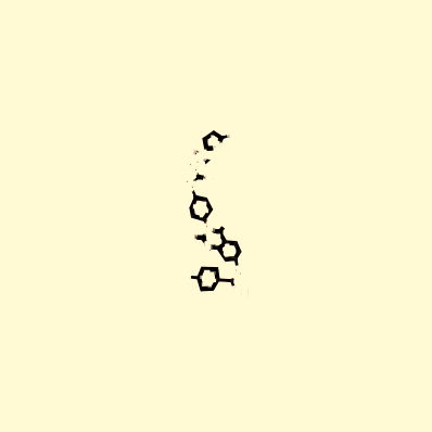 CC(Nc1ccc2c(=O)n(-c3ccc(NC(=O)NS(=O)(=O)c4ccc(Cl)s4)cc3)c(=O)[nH]c2c1)c1ccc(F)cc1